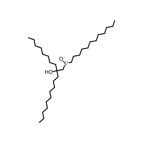 CCCCCCCCCCCC[S+]([O-])CC(O)(CCCCCCCC)CCCCCCCCCC